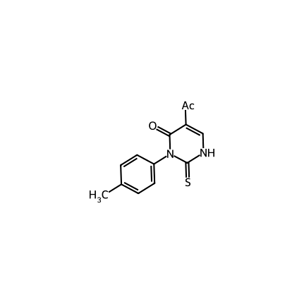 CC(=O)c1c[nH]c(=S)n(-c2ccc(C)cc2)c1=O